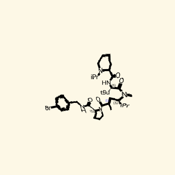 C/C(=C\[C@H](C(C)C)N(C)C(=O)[C@@H](NC(=O)C1CCCCN1C(C)C)C(C)(C)C)C(=O)N1CCC[C@H]1C(=O)NCc1ccc(Br)cc1